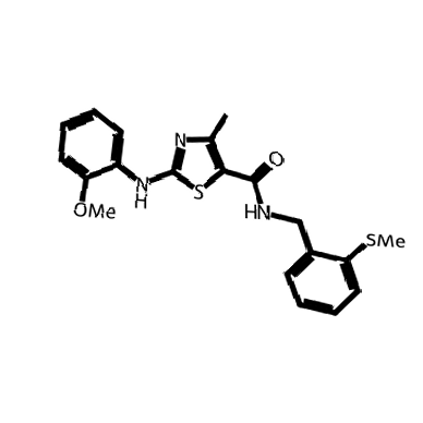 COc1ccccc1Nc1nc(C)c(C(=O)NCc2ccccc2SC)s1